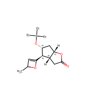 CC[Si](CC)(CC)O[C@@H]1C[C@@H]2OC(=O)C[C@@H]2[C@H]1C1=CC(C)O1